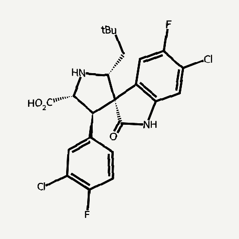 CC(C)(C)C[C@H]1N[C@@H](C(=O)O)[C@H](c2ccc(F)c(Cl)c2)[C@@]12C(=O)Nc1cc(Cl)c(F)cc12